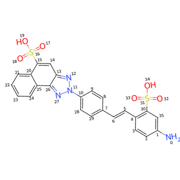 Nc1ccc(/C=C/c2ccc(-n3nc4cc(S(=O)(=O)O)c5ccccc5c4n3)cc2)c(S(=O)(=O)O)c1